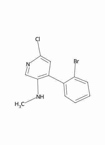 CNc1cnc(Cl)cc1-c1ccccc1Br